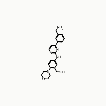 NCc1cccc(-c2ccnc(Nc3ccc(N4CCOCC4)c(CO)c3)n2)c1